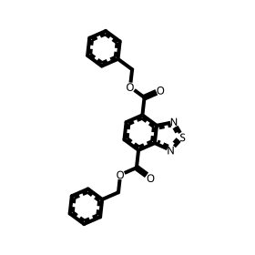 O=C(OCc1ccccc1)c1ccc(C(=O)OCc2ccccc2)c2nsnc12